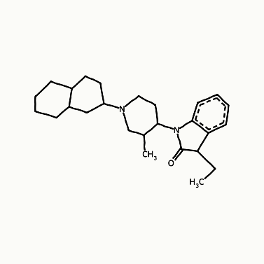 CCC1C(=O)N(C2CCN(C3CCC4CCCCC4C3)CC2C)c2ccccc21